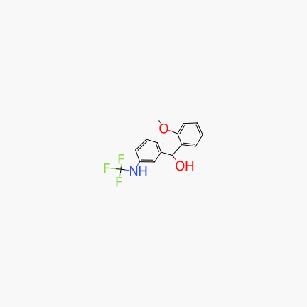 COc1ccccc1C(O)c1cccc(NC(F)(F)F)c1